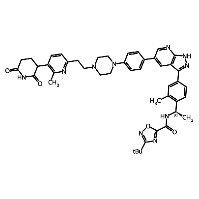 Cc1cc(-c2n[nH]c3ncc(-c4ccc(N5CCN(CCc6ccc(C7CCC(=O)NC7=O)c(C)n6)CC5)cc4)cc23)ccc1[C@@H](C)NC(=O)c1nc(C(C)(C)C)no1